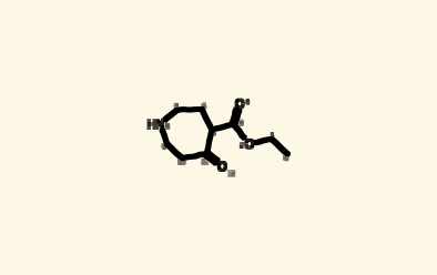 CCOC(=O)C1CCNCCC1=O